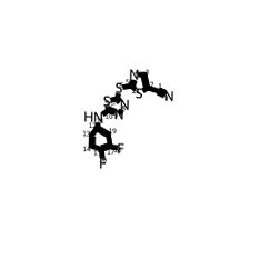 N#Cc1cnc(Sc2nnc(Nc3ccc(F)c(F)c3)s2)s1